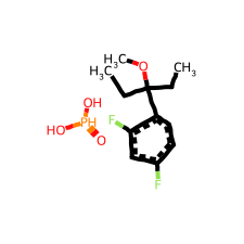 CCC(CC)(OC)c1ccc(F)cc1F.O=[PH](O)O